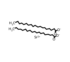 CCCCCCCCCCCCCCCCCCC(=O)[O-].CCCCCCCCCCCCCCCCCCC(=O)[O-].[Sr+2]